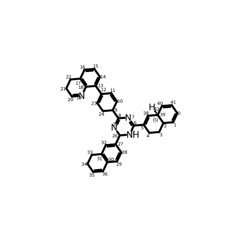 C1=CC2CCC(C3=NC(C4C=CC(c5cccc6c5N=CCC6)=CC4)=NC(c4ccc5c(c4)CCC=C5)N3)=C[C@@H]2C=C1